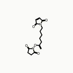 C=C(CCCCCN1C(=O)C=CC1=O)ON1C(=O)CCC1=O